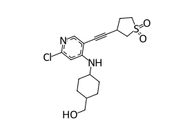 O=S1(=O)CCC(C#Cc2cnc(Cl)cc2NC2CCC(CO)CC2)C1